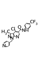 Cc1nn(Cc2ccncc2)c2ncc(C(=O)Nc3ccc(C(F)(F)F)cc3)c(Cl)c12